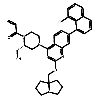 C=CC(=O)N1CCN(c2nc(OCC34CCCN3CCC4)nc3cc(-c4cccc5cccc(Cl)c45)ccc23)C[C@@H]1CC#N